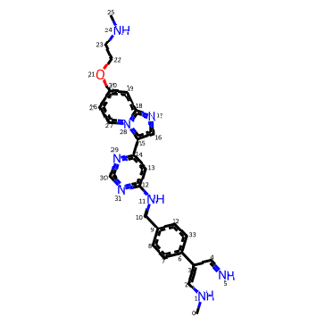 CN/C=C(\C=N)c1ccc(CNc2cc(-c3cnc4cc(OCCNC)ccn34)ncn2)cc1